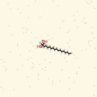 CCCCCCCCCCCCCCCCC(C)(O)CO